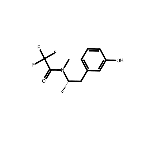 C[C@@H](Cc1cccc(O)c1)N(C)C(=O)C(F)(F)F